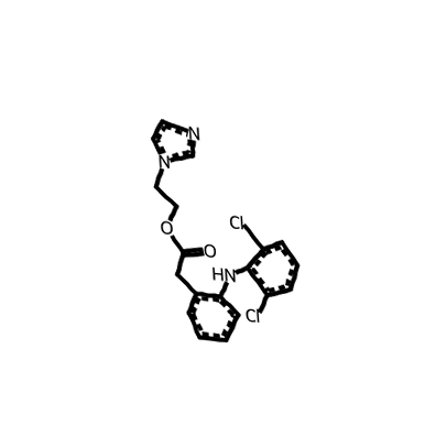 O=C(Cc1ccccc1Nc1c(Cl)cccc1Cl)OCCn1ccnc1